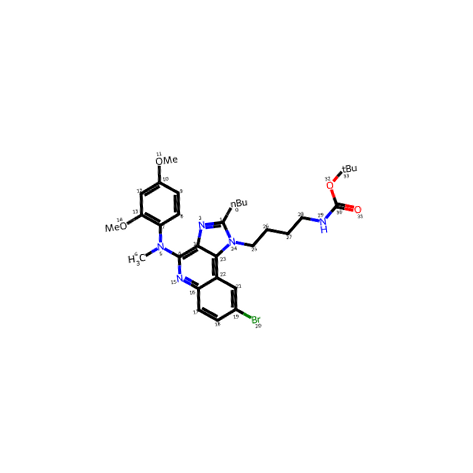 CCCCc1nc2c(N(C)c3ccc(OC)cc3OC)nc3ccc(Br)cc3c2n1CCCCNC(=O)OC(C)(C)C